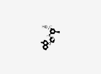 C#Cc1cc(Nc2cc(Oc3ccc(C)c4ccccc34)ccn2)cc(C(=O)O)c1